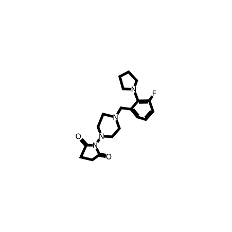 O=C1CCC(=O)N1N1CCN(Cc2cccc(F)c2N2CCCC2)CC1